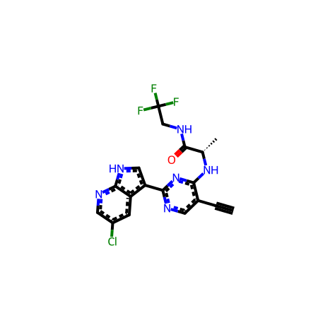 C#Cc1cnc(-c2c[nH]c3ncc(Cl)cc23)nc1N[C@@H](C)C(=O)NCC(F)(F)F